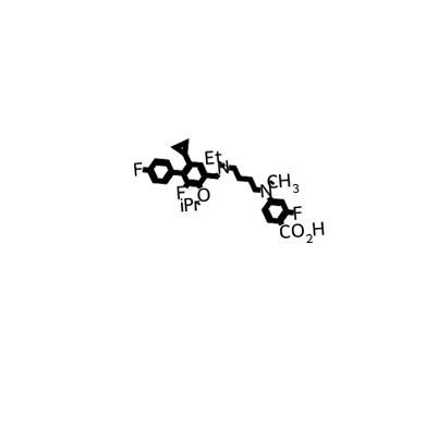 CCN(CCCCN(C)c1ccc(C(=O)O)c(F)c1)Cc1cc(C2CC2)c(-c2ccc(F)cc2)c(F)c1OC(C)C